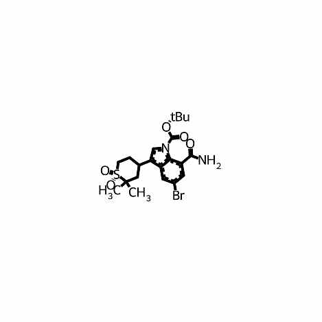 CC(C)(C)OC(=O)n1cc(C2CCS(=O)(=O)C(C)(C)C2)c2cc(Br)cc(C(N)=O)c21